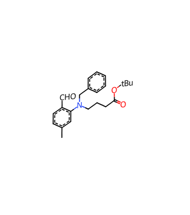 Cc1ccc(C=O)c(N(CCCC(=O)OC(C)(C)C)Cc2ccccc2)c1